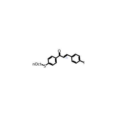 CCCCCCCCSc1ccc(C(=O)/C=C/c2ccc(I)cc2)cc1